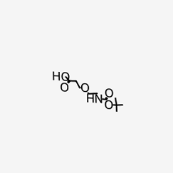 CC(C)(C)OC(=O)NCCOCCC(=O)O